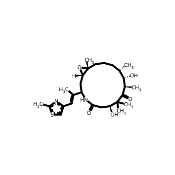 C/C(=C\c1csc(C)n1)C1C[C@@H]2O[C@]2(C)CCC[C@H](C)[C@H](O)[C@@H](C)C(=O)C(C)(C)[C@@H](O)CC(=O)N1